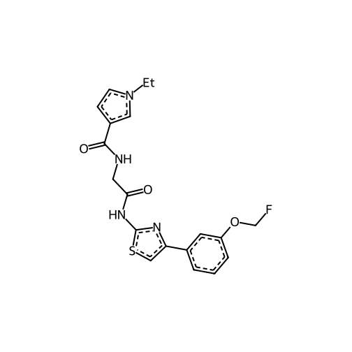 CCn1ccc(C(=O)NCC(=O)Nc2nc(-c3cccc(OCF)c3)cs2)c1